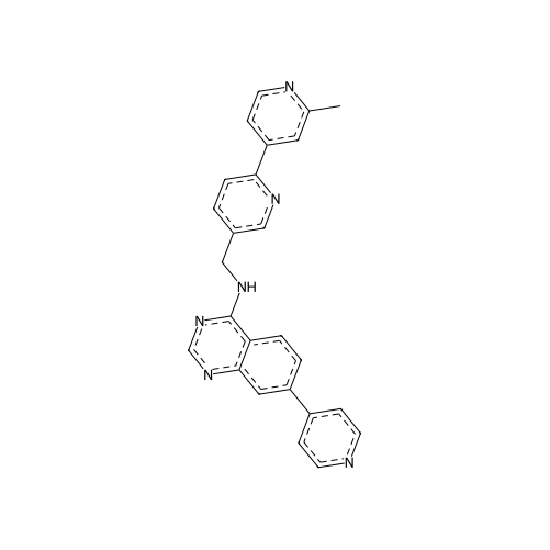 Cc1cc(-c2ccc(CNc3ncnc4cc(-c5ccncc5)ccc34)cn2)ccn1